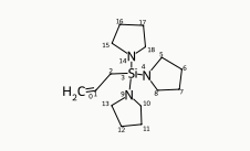 C=CC[Si](N1CCCC1)(N1CCCC1)N1CCCC1